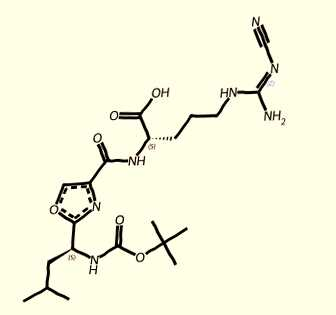 CC(C)C[C@H](NC(=O)OC(C)(C)C)c1nc(C(=O)N[C@@H](CCCN/C(N)=N\C#N)C(=O)O)co1